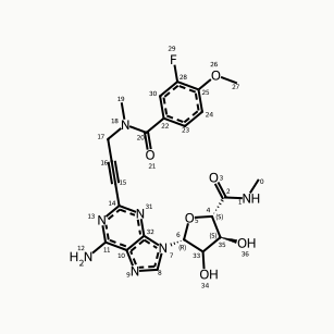 CNC(=O)[C@H]1O[C@@H](n2cnc3c(N)nc(C#CCN(C)C(=O)c4ccc(OC)c(F)c4)nc32)C(O)[C@@H]1O